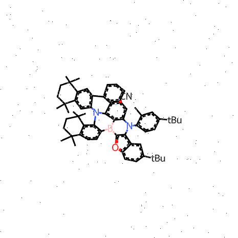 Cc1cc(C(C)(C)C)ccc1N1c2cc(C#N)cc3c2B(c2ccc4c(c2N3c2cc3c(cc2-c2ccccc2)C(C)(C)CCC3(C)C)C(C)(C)CCC4(C)C)c2oc3ccc(C(C)(C)C)cc3c21